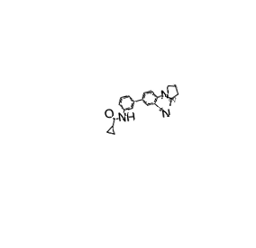 C[C@@H]1CCCN1c1ccc(-c2cccc(NC(=O)C3CC3)c2)cc1C#N